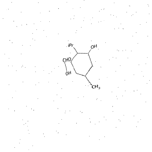 CC1CCC(C(C)C)C(O)C1.O=CO